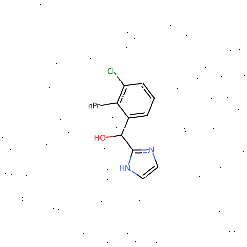 CCCc1c(Cl)cccc1C(O)c1ncc[nH]1